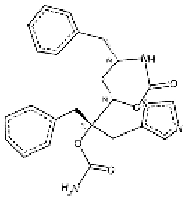 NC(=O)O[C@@](Cc1ccccc1)(Cc1cncs1)[C@@H]1C[C@H](Cc2ccccc2)NC(=O)O1